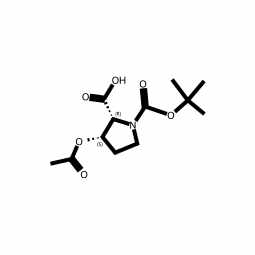 CC(=O)O[C@H]1CCN(C(=O)OC(C)(C)C)[C@H]1C(=O)O